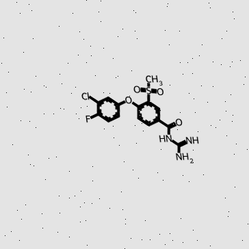 CS(=O)(=O)c1cc(C(=O)NC(=N)N)ccc1Oc1ccc(F)c(Cl)c1